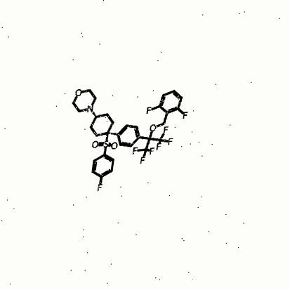 O=S(=O)(c1ccc(F)cc1)[C@]1(c2ccc(C(OCc3c(F)cccc3F)(C(F)(F)F)C(F)(F)F)cc2)CC[C@@H](N2CCOCC2)CC1